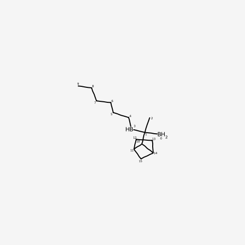 BC(C)(BCCCCCC)C1C2CCC1C2